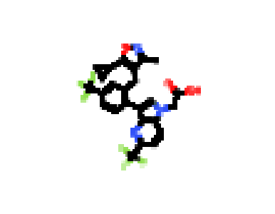 Cc1noc(C2CC2)c1Cc1cc(C(F)(F)F)ccc1-c1cn(CC(=O)O)c2ccc(C(F)(F)F)nc12